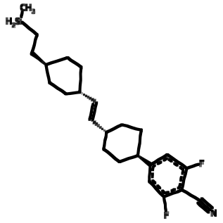 C[SiH2]CC[C@H]1CC[C@H](C=C[C@H]2CC[C@H](c3cc(F)c(C#N)c(F)c3)CC2)CC1